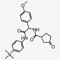 COc1ccc(C(NC(=O)C2CCC(=O)C2)C(=O)Nc2ccc([Si](C)(C)C)cc2)cc1